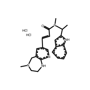 CC(c1cc2ccccc2[nH]1)N(C)C(=O)C=Cc1cnc2c(c1)CN(C)CCN2.Cl.Cl